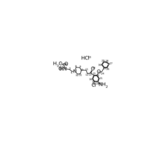 CS(=O)(=O)NCCN1CCC(CCC(=O)c2cc(Cl)c(N)cc2OCc2ccccc2)CC1.Cl